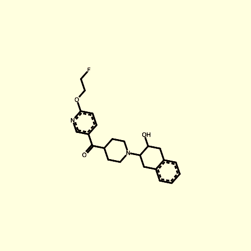 O=C(c1ccc(OCCF)nc1)C1CCN(C2Cc3ccccc3CC2O)CC1